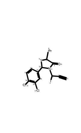 C#CC(I)N1C(=O)C(C(C)C)SC1c1ccc(Cl)c(Cl)c1